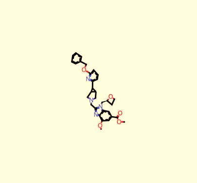 COC(=O)c1cc(OC)c2nc(CN3CC4C(C3)C4c3cccc(OCc4ccccc4)n3)n(C[C@@H]3CCO3)c2c1